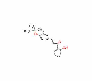 CC(C)(Oc1ccc(C=CC(=O)c2ccccc2O)cc1)C(=O)O